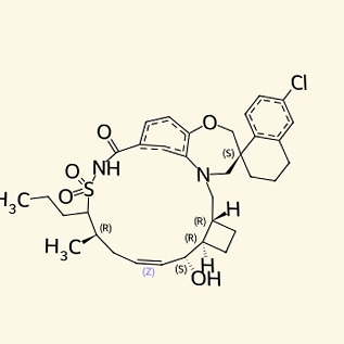 CCCC1[C@H](C)C/C=C\[C@@H](O)[C@@H]2CC[C@H]2CN2C[C@@]3(CCCc4cc(Cl)ccc43)COc3ccc(cc32)C(=O)NS1(=O)=O